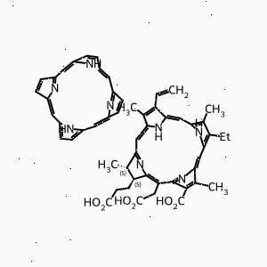 C1=Cc2cc3ccc(cc4nc(cc5ccc(cc1n2)[nH]5)C=C4)[nH]3.C=Cc1c(C)c2cc3nc(c(CC(=O)O)c4nc(cc5[nH]c(cc1[nH]2)c(C)c5CC)C(C)=C4C(=O)O)[C@@H](CCC(=O)O)[C@@H]3C